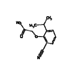 CC(C)c1cccc(C#N)c1OCC(=O)O